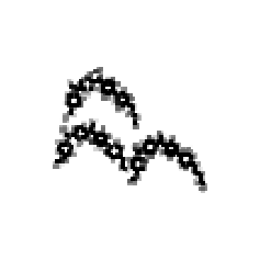 CCCC1CCC(c2ccc(C(C)C3CCC(C(C)C4CCC(CC)CC4)CC3)cc2)CC1.CCCCC1CCC(c2ccc(C(C)C3CCC(C(C)C4CCC(CC)CC4)CC3)cc2)CC1.CCCCCC1CCC(c2ccc(C(C)C3CCC(C(C)C4CCC(CC)CC4)CC3)cc2)CC1